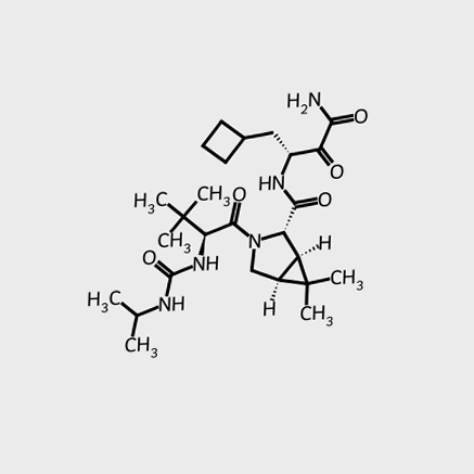 CC(C)NC(=O)N[C@H](C(=O)N1C[C@H]2[C@@H]([C@H]1C(=O)N[C@H](CC1CCC1)C(=O)C(N)=O)C2(C)C)C(C)(C)C